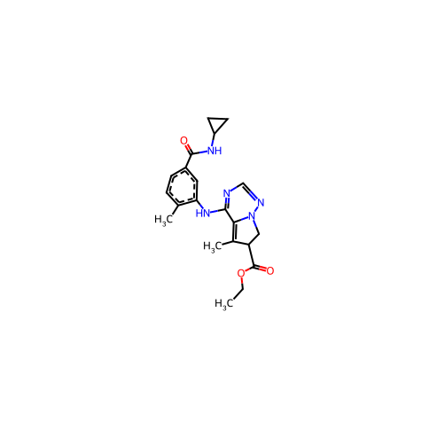 CCOC(=O)C1CN2N=CN=C(Nc3cc(C(=O)NC4CC4)ccc3C)C2=C1C